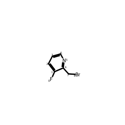 Fc1cc[c]nc1CBr